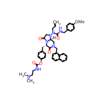 C=CCN(C(=O)NCc1ccc(OC)cc1)N1CC(=O)N2[C@@H](Cc3ccc(OC(=O)NCCN(C)C)cc3)C(=O)N(Cc3cccc4ccccc34)C[C@@H]21